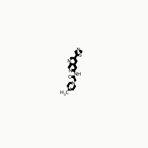 CN1CCN(CC(=O)Nc2cc3cc(-c4cncs4)cnc3cn2)CC1